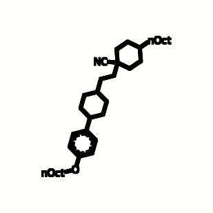 CCCCCCCCOc1ccc(C2CCC(CCC3(C#N)CCC(CCCCCCCC)CC3)CC2)cc1